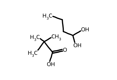 CC(C)(C)C(=O)O.CCCC(O)O